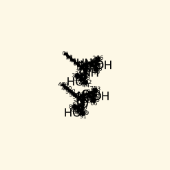 CCCCCCCCSc1nc(Nc2cc(C(C)(C)C)c(O)c(C(C)(C)C)c2)nc(Nc2cc(C(C)(C)C)c(O)c(C(C)(C)C)c2)n1.CCCCCCCCSc1nc(Oc2cc(C(C)(C)C)c(O)c(C(C)(C)C)c2)nc(Oc2cc(C(C)(C)C)c(O)c(C(C)(C)C)c2)n1